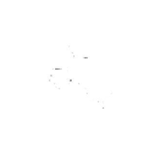 CC(C)c1ccnn1CCN(C)C